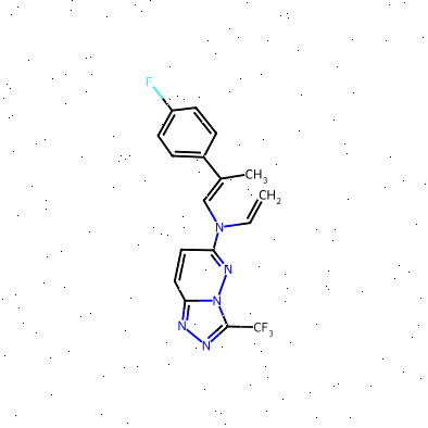 C=CN(/C=C(\C)c1ccc(F)cc1)c1ccc2nnc(C(F)(F)F)n2n1